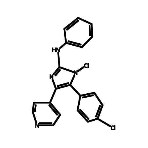 Clc1ccc(-c2c(-c3ccncc3)nc(Nc3ccccc3)n2Cl)cc1